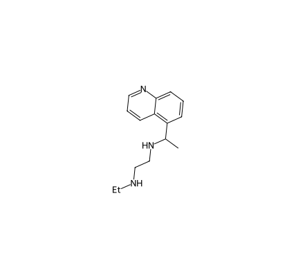 CCNCCNC(C)c1cccc2ncccc12